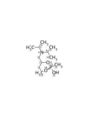 CCC(CN(C(C)C)C(C)C)OP(C)(=O)O